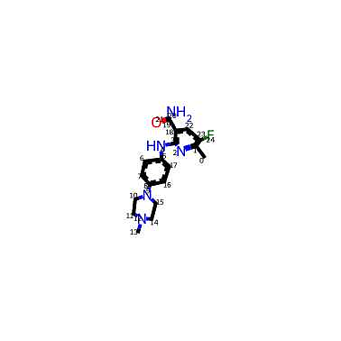 Cc1nc(Nc2ccc(N3CCN(C)CC3)cc2)c(C(N)=O)cc1F